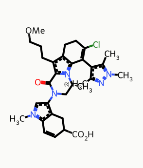 COCCCc1c2c(n3c1C(=O)N(c1cn(C)c4c1CC(C(=O)O)C=C4)C[C@H]3C)C(c1c(C)nn(C)c1C)=C(Cl)CC2